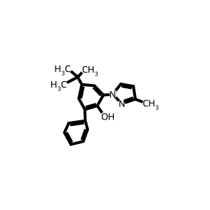 Cc1ccn(-c2cc(C(C)(C)C)cc(-c3ccccc3)c2O)n1